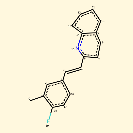 Cc1cc(C=Cc2ccc3ccccc3n2)ccc1F